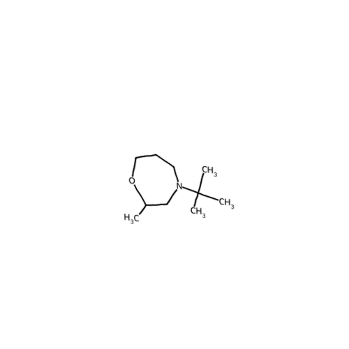 CC1CN(C(C)(C)C)CCCO1